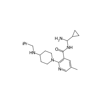 Cc1cnc(N2CCC(NCC(C)C)CC2)c(C(=O)NC(N)C2CC2)c1